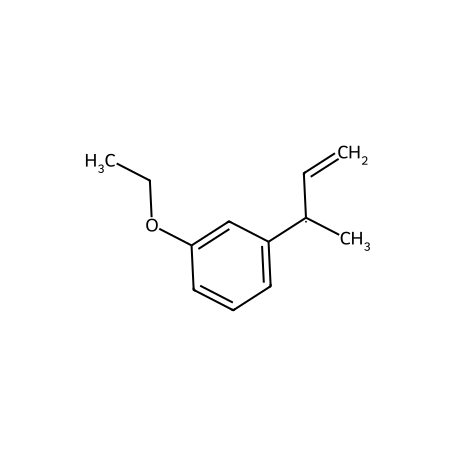 C=C[C](C)c1cccc(OCC)c1